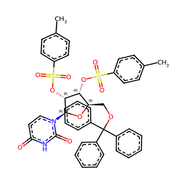 Cc1ccc(S(=O)(=O)O[C@@H]2[C@H](OS(=O)(=O)c3ccc(C)cc3)[C@@H](COC(c3ccccc3)(c3ccccc3)c3ccccc3)O[C@H]2n2ccc(=O)[nH]c2=O)cc1